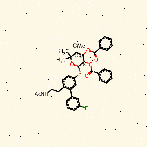 CO[C@@H]1[C@@H](OC(=O)c2ccccc2)[C@@H](OC(=O)c2ccccc2)C(Sc2ccc(CCNC(C)=O)c(-c3cccc(F)c3)c2)OC1(C)C